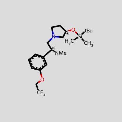 CN[C@H](CN1CC[C@@H](O[Si](C)(C)C(C)(C)C)C1)c1cccc(OCC(F)(F)F)c1